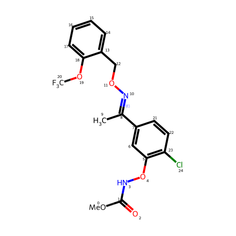 COC(=O)NOc1cc(/C(C)=N/OCc2ccccc2OC(F)(F)F)ccc1Cl